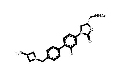 CC(=O)NC[C@H]1CN(c2ccc(-c3ccc(CN4CC(N)C4)cc3)c(F)c2)C(=O)O1